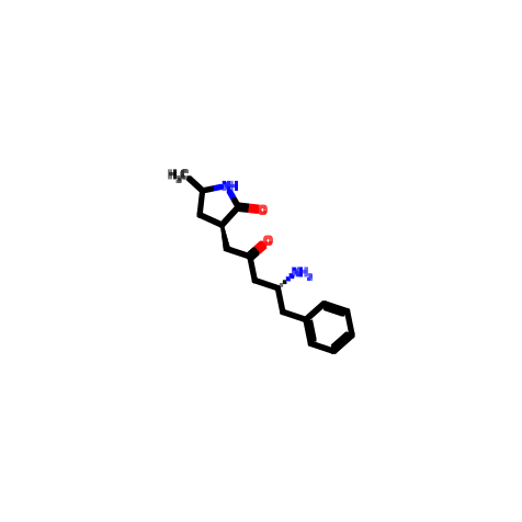 CC1C[C@H](CC(=O)C[C@H](N)Cc2ccccc2)C(=O)N1